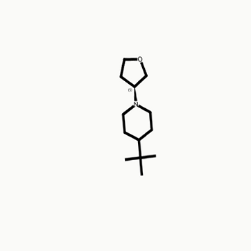 CC(C)(C)C1CCN([C@H]2CCOC2)CC1